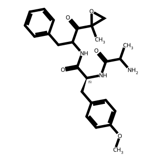 COc1ccc(C[C@H](NC(=O)C(C)N)C(=O)NC(Cc2ccccc2)C(=O)C2(C)CO2)cc1